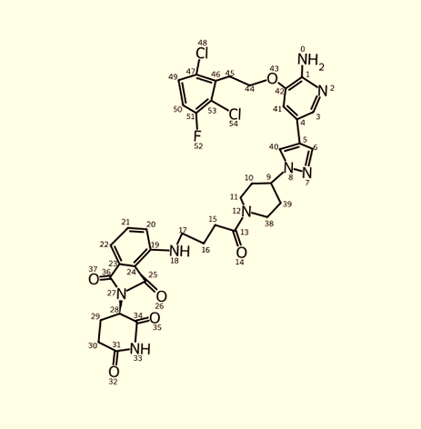 Nc1ncc(-c2cnn(C3CCN(C(=O)CCCNc4cccc5c4C(=O)N([C@@H]4CCC(=O)NC4=O)C5=O)CC3)c2)cc1OCCc1c(Cl)ccc(F)c1Cl